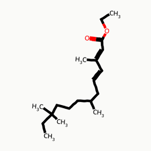 CCOC(=O)/C=C(C)/C=C/CC(C)CCCC(C)(C)CC